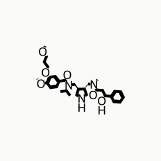 COCCCOc1cc(C(=O)N(C[C@@H]2CNC[C@H]2CN(C)C(=O)C[C@H](O)c2ccccc2)C(C)C)ccc1OC